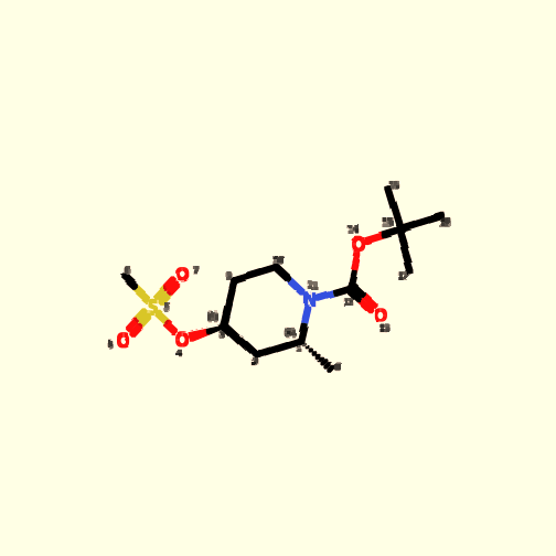 C[C@@H]1C[C@@H](OS(C)(=O)=O)CCN1C(=O)OC(C)(C)C